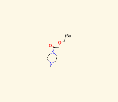 CN1CCN(C(=O)COCC(C)(C)C)CC1